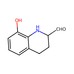 O=CC1CCc2cccc(O)c2N1